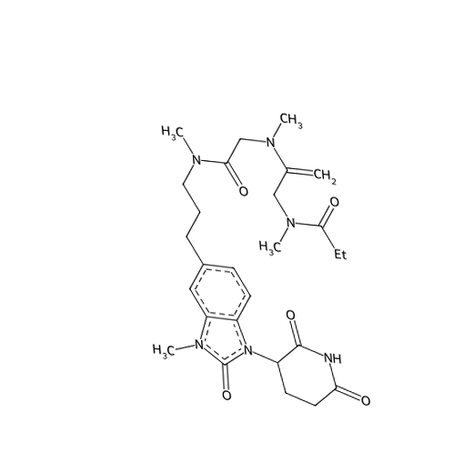 C=C(CN(C)C(=O)CC)N(C)CC(=O)N(C)CCCc1ccc2c(c1)n(C)c(=O)n2C1CCC(=O)NC1=O